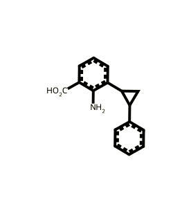 Nc1c(C(=O)O)cccc1C1CC1c1ccccc1